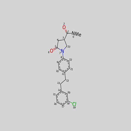 CNC(=O)C1CC(=O)N(c2ccc(CCc3cccc(Cl)c3)cc2)C1